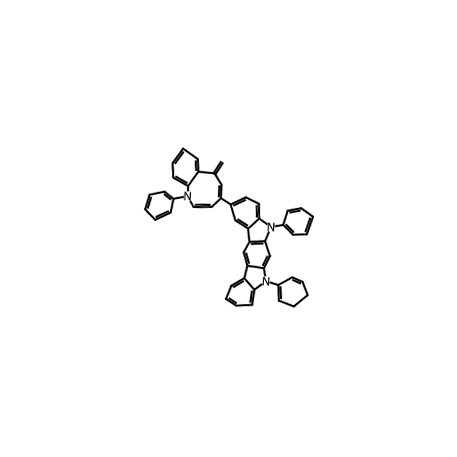 C=C1/C=C(c2ccc3c(c2)c2cc4c5ccccc5n(C5=CCCC=C5)c4cc2n3-c2ccccc2)\C=C/N(c2ccccc2)c2ccccc21